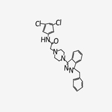 O=C(CN1CCN(c2nnc(Cc3ccccc3)c3ccccc23)CC1)Nc1cc(Cl)cc(Cl)c1